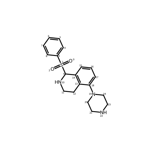 O=S(=O)(c1ccccc1)C1NCCc2c1cccc2N1CCNCC1